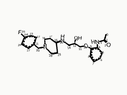 CC(=O)Nc1ccccc1OC[C@H](O)CNC1CCN(Cc2ccc(F)cc2)CC1